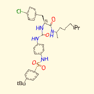 CC(C)CCCC(C)NC(=O)[C@H](Cc1ccc(Cl)cc1)NC(=O)Nc1ccc(NS(=O)(=O)c2ccc(C(C)(C)C)cc2)cc1